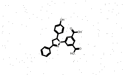 O=C(O)c1cc(C(=O)O)cc(N2N=C(c3ccccc3)CC2c2ccc(O)cc2)c1